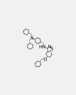 c1ccc(COc2ccc3snc(NCc4ccc(N(Cc5ccccc5)Cc5ccccc5)cc4)c3c2)cc1